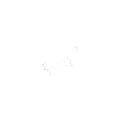 CCC(=O)Nc1ccc(Oc2ccnc3cc(-c4cn(C)cn4)sc23)c(F)c1